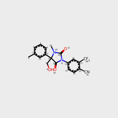 Cc1cccc(C2(CO)C(=O)N(c3ccc(C#N)c(C(F)(F)F)c3)C(=O)N2C)c1